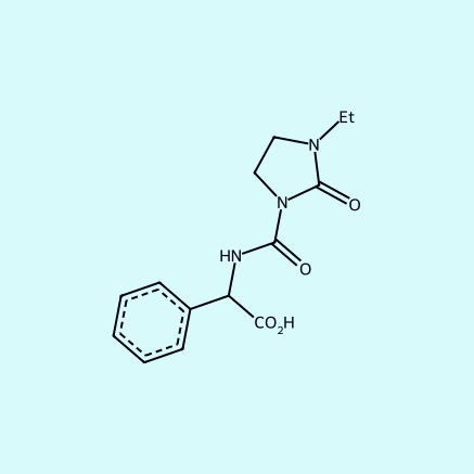 CCN1CCN(C(=O)NC(C(=O)O)c2ccccc2)C1=O